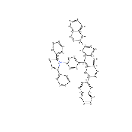 C1=C(c2ccccc2)N(c2ccc(-c3c4cc(-c5ccc6ccccc6c5)ccc4cc4ccc(-c5ccc6ccccc6c5)cc34)cc2)C(c2ccccc2)C1